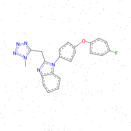 Cn1nnnc1Cc1nc2ccccc2n1-c1ccc(Oc2ccc(F)cc2)cc1